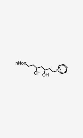 CCCCCCCCCCCC(O)CC(O)CC[n+]1ccccc1